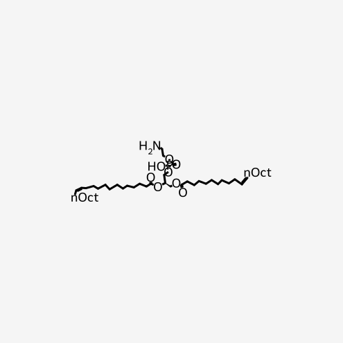 CCCCCCCC/C=C\CCCCCCCCCCCC(=O)O[C@H](COC(=O)CCCCCCCCC/C=C\CCCCCCCC)COP(=O)(O)OCCN